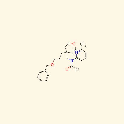 CCC(=O)N(CC1(CCCOCc2ccccc2)CCOCC1)c1cccc(C(F)(F)F)n1